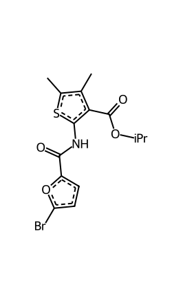 Cc1sc(NC(=O)c2ccc(Br)o2)c(C(=O)OC(C)C)c1C